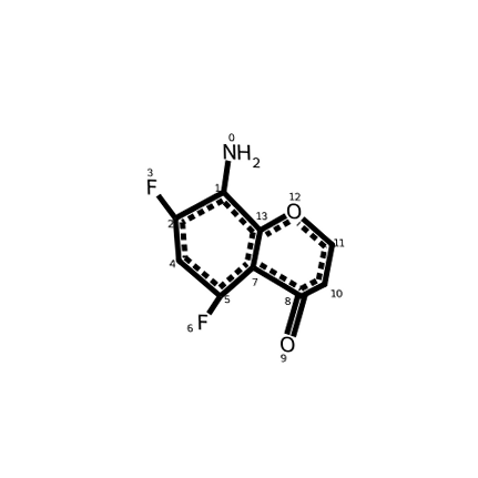 Nc1c(F)cc(F)c2c(=O)ccoc12